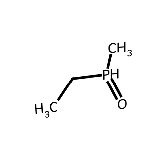 CC[PH](C)=O